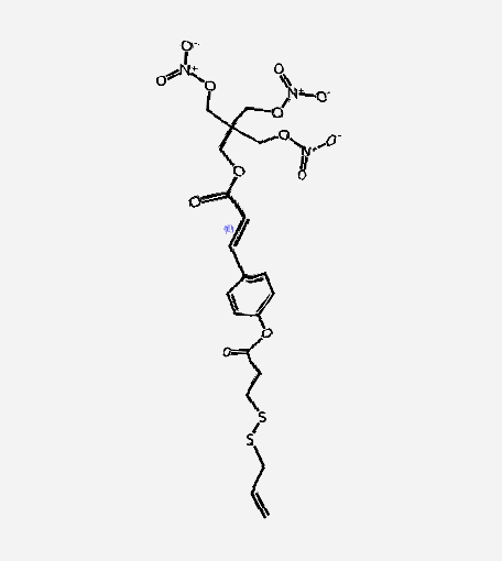 C=CCSSCCC(=O)Oc1ccc(/C=C/C(=O)OCC(CO[N+](=O)[O-])(CO[N+](=O)[O-])CO[N+](=O)[O-])cc1